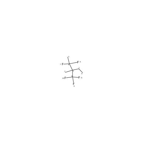 CCC(C)(C(C)(F)F)C(F)(F)F